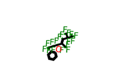 FC(=C(C(F)(F)F)C(F)(Oc1ccccc1)C(F)(F)C(F)(F)F)C(F)(C(F)(F)F)C(F)(F)F